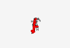 CC1(C)CC(CNc2ccc(S(=O)(=O)NC(=O)c3ccc(N4CCC5(CC4)CC(N4CCC[C@H]4c4ccccc4C4CC4)C5)cc3Oc3cnc4[nH]ccc4c3)cc2[N+](=O)[O-])CCO1